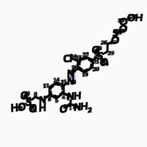 NC(=O)Nc1cc(NCS(=O)(=O)O)ccc1/N=N/c1ccc(S(=O)(=O)CCOSOOO)cc1Cl